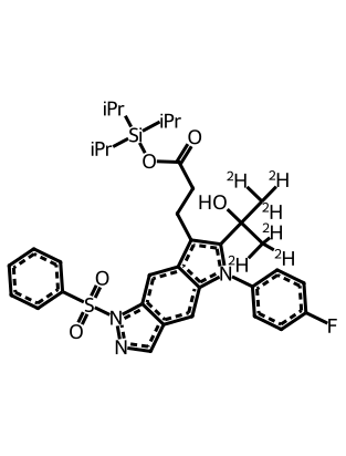 [2H]C([2H])([2H])C(O)(c1c(CCC(=O)O[Si](C(C)C)(C(C)C)C(C)C)c2cc3c(cnn3S(=O)(=O)c3ccccc3)cc2n1-c1ccc(F)cc1)C([2H])([2H])[2H]